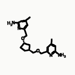 Cc1cc(N)nc(COC[C@H]2CC[C@H](OCc3cc(C)cc(N)n3)C2)c1